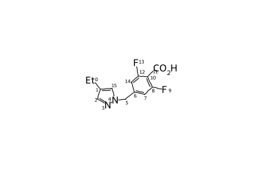 CCc1cnn(Cc2cc(F)c(C(=O)O)c(F)c2)c1